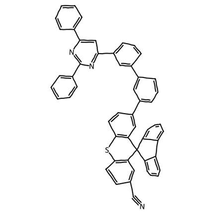 N#Cc1ccc2c(c1)C1(c3cc(-c4cccc(-c5cccc(-c6cc(-c7ccccc7)nc(-c7ccccc7)n6)c5)c4)ccc3S2)c2ccccc2-c2ccccc21